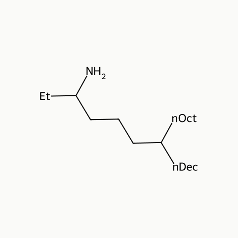 CCCCCCCCCCC(CCCCCCCC)CCCC(N)CC